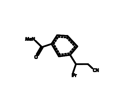 CNC(=O)c1cccc(C(CC#N)C(C)C)c1